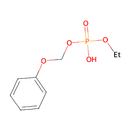 CCOP(=O)(O)OCOc1ccccc1